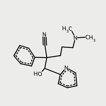 CN(C)CCCC(C#N)(c1ccccc1)C(O)c1ccccn1